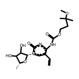 C=Cc1cn([C@@H]2O[C@H](C)C(O)C2O)c(=O)nc1NC(=O)OCCC(C)(C)OC